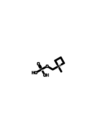 C[N+]1(COP(=O)(O)O)CCC1